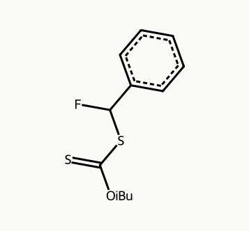 CC(C)COC(=S)SC(F)c1ccccc1